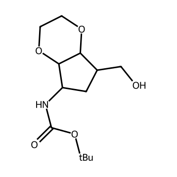 CC(C)(C)OC(=O)NC1CC(CO)C2OCCOC12